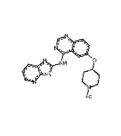 CC(=O)N1CCC(Oc2ccc3ncnc(Nc4nc5cccnc5s4)c3c2)CC1